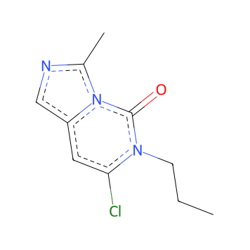 CCCn1c(Cl)cc2cnc(C)n2c1=O